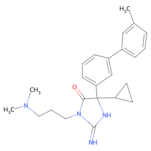 Cc1cccc(-c2cccc(C3(C4CC4)NC(=N)N(CCCN(C)C)C3=O)c2)c1